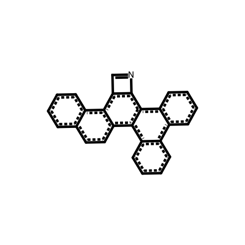 C1=Nc2c1c1c3ccccc3ccc1c1c3ccccc3c3ccccc3c21